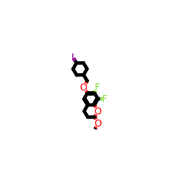 COC1CCc2cc(OCC3CCC(I)CC3)c(F)c(F)c2O1